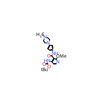 COc1nccc(NC(=O)OC(C)(C)C)c1C(=O)Nc1ccc(N2CCN(C)CC2)cc1